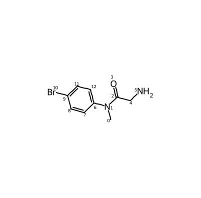 CN(C(=O)CN)c1ccc(Br)cc1